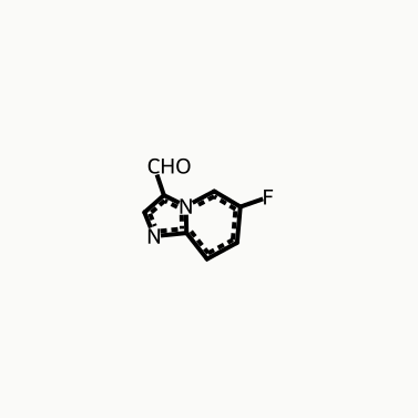 O=Cc1cnc2ccc(F)cn12